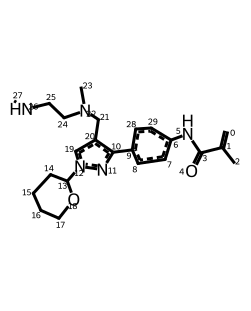 C=C(C)C(=O)Nc1ccc(-c2nn(C3CCCCO3)cc2CN(C)CCNC)cc1